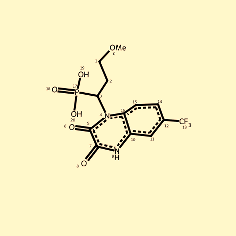 COCCC(n1c(=O)c(=O)[nH]c2cc(C(F)(F)F)ccc21)P(=O)(O)O